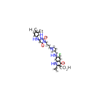 CCc1cc(Nc2cc(=O)n(CCCCN3CCC(CNc4cc5[nH]c(C6CC6)c(C(=O)O)c(=O)c5cc4F)C3)c(=O)[nH]2)ccc1C